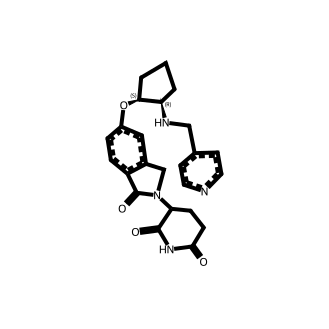 O=C1CCC(N2Cc3cc(O[C@H]4CCC[C@H]4NCc4ccncc4)ccc3C2=O)C(=O)N1